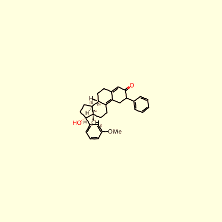 COc1cccc([C@@]2(O)CC[C@H]3[C@@H]4CCC5=CC(=O)C(c6ccccc6)CC5=C4CC[C@@]32C)c1